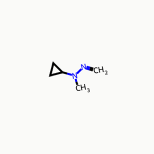 C=NN(C)C1CC1